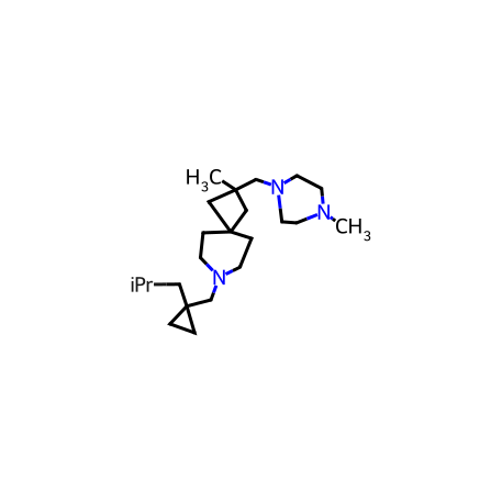 CC(C)CC1(CN2CCC3(CC2)CC(C)(CN2CCN(C)CC2)C3)CC1